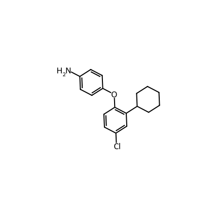 Nc1ccc(Oc2ccc(Cl)cc2C2CCCCC2)cc1